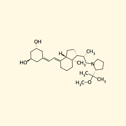 COC(C)(C)[C@H]1CCCN1C[C@@H](C)[C@H]1CC[C@H]2/C(=C/C=C3C[C@@H](O)C[C@H](O)C3)CCC[C@]12C